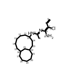 C=C/C(Cl)=C(N)\N=C(/C)NC1CCCCCC2CCCCCC(CC1)C2